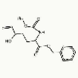 C=CC(O)CCC(NC(=O)OC(C)(C)C)C(=O)OCc1ccccc1